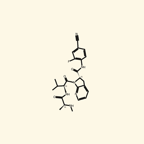 CN[C@@H](C)C(=O)N[C@H](C(=O)N1c2ncccc2C[C@H]1C(=O)Nc1ccc(C#N)cc1F)C(C)C